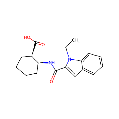 CCn1c(C(=O)N[C@H]2CCCC[C@H]2C(=O)O)cc2ccccc21